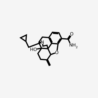 C=C1CCC2(O)C3Cc4ccc(C(N)=O)c5c4C2(CCN3CC2CC2)C1O5